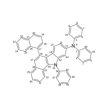 c1ccc(N(c2ccccc2)c2ccc3c4c(-c5cccc6ccccc56)cc5ccccc5c4n(-c4ccccc4)c3c2)cc1